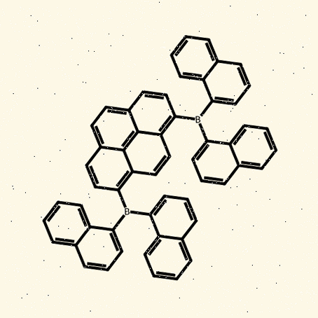 c1ccc2c(B(c3cccc4ccccc34)c3ccc4ccc5ccc(B(c6cccc7ccccc67)c6cccc7ccccc67)c6ccc3c4c56)cccc2c1